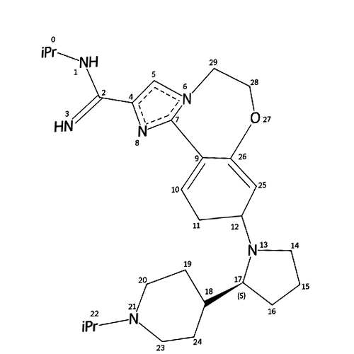 CC(C)NC(=N)c1cn2c(n1)C1=CCC(N3CCC[C@H]3C3CCN(C(C)C)CC3)C=C1OCC2